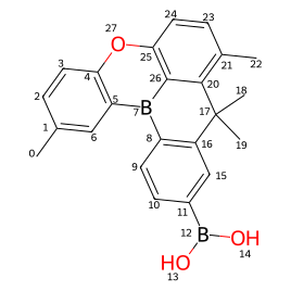 Cc1ccc2c(c1)B1c3ccc(B(O)O)cc3C(C)(C)c3c(C)ccc(c31)O2